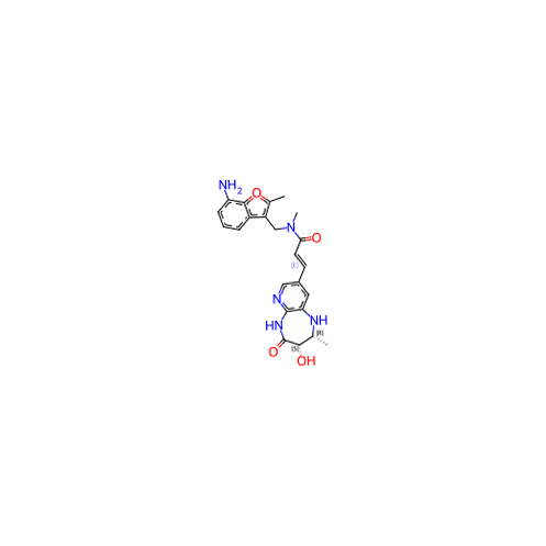 Cc1oc2c(N)cccc2c1CN(C)C(=O)/C=C/c1cnc2c(c1)N[C@H](C)[C@H](O)C(=O)N2